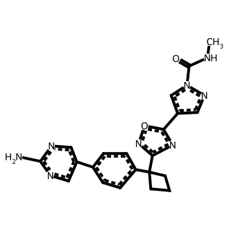 CNC(=O)n1cc(-c2nc(C3(c4ccc(-c5cnc(N)nc5)cc4)CCC3)no2)cn1